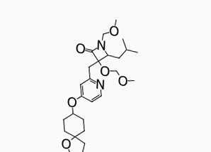 COCOC1(Cc2cc(OC3CCC4(CCCO4)CC3)ccn2)C(=O)N(COC)C1CC(C)C